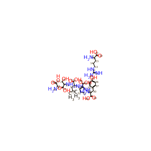 CC(C)CC(N)C(=O)O.N=C(N)NCCCC(N)C(=O)O.NC(CO)C(=O)O.NC(Cc1ccc(O)cc1)C(=O)O.NCC(=O)O.O=C(O)[C@@H]1CCCN1